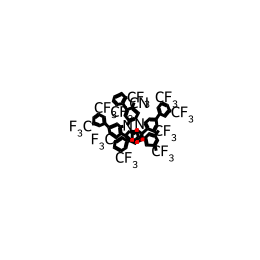 N#Cc1cc(-n2c3cc(-c4cc(C(F)(F)F)cc(C(F)(F)F)c4)ccc3c3ccc(-c4cc(C(F)(F)F)cc(C(F)(F)F)c4)cc32)c(-n2c3cc(-c4cc(C(F)(F)F)cc(C(F)(F)F)c4)ccc3c3ccc(-c4cc(C(F)(F)F)cc(C(F)(F)F)c4)cc32)cc1-c1c(C(F)(F)F)cccc1C(F)(F)F